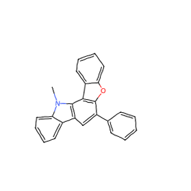 Cn1c2ccccc2c2cc(-c3ccccc3)c3oc4ccccc4c3c21